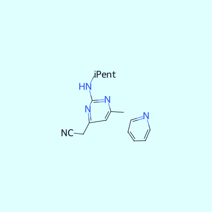 CCCC(C)Nc1nc(C)cc(CC#N)n1.c1ccncc1